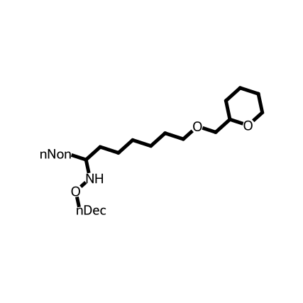 CCCCCCCCCCONC(CCCCCCCCC)CCCCCCOCC1CCCCO1